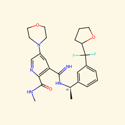 CNC(=O)c1ncc(N2CCOCC2)cc1C(=N)N[C@H](C)c1cccc(C(F)(F)C2CCCO2)c1